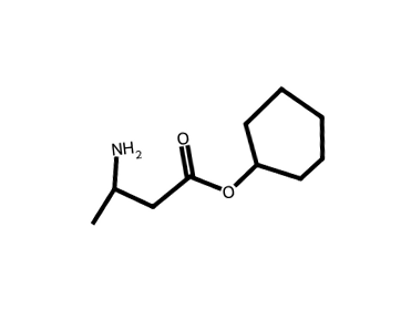 CC(N)CC(=O)OC1CCCCC1